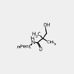 CCCCCNC(=O)C(C)(C)CO